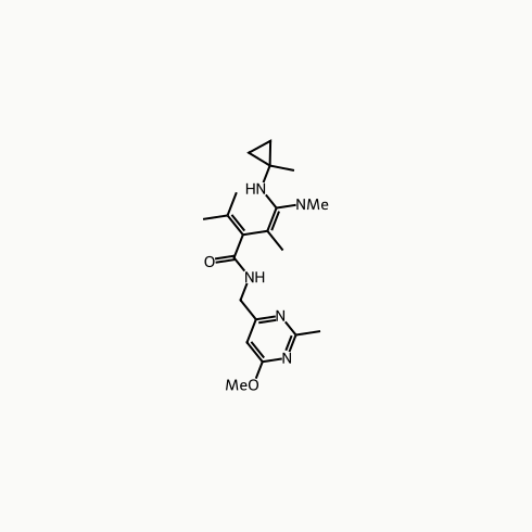 CN/C(NC1(C)CC1)=C(\C)C(C(=O)NCc1cc(OC)nc(C)n1)=C(C)C